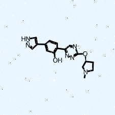 CN1CC[C@H](Oc2ncc(-c3ccc(-c4cn[nH]c4)cc3O)nn2)C1